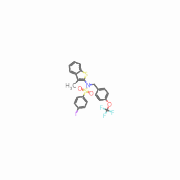 Cc1c(N(Cc2ccc(OC(F)(F)F)cc2)S(=O)(=O)c2ccc(I)cc2)sc2ccccc12